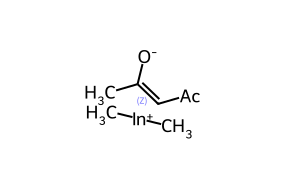 CC(=O)/C=C(/C)[O-].[CH3][In+][CH3]